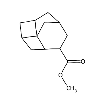 COC(=O)C12CC3CC4CC(C1)C4(C3)C2